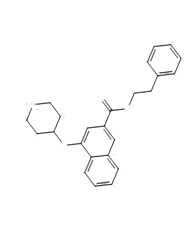 O=C(OCCc1ccccc1)c1cc(OC2CCNCC2)c2ccccc2c1